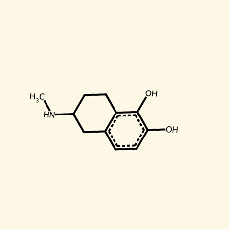 CNC1CCc2c(ccc(O)c2O)C1